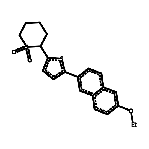 CCOc1ccc2cc(-c3ccc([C]4CCCCS4(=O)=O)s3)ccc2c1